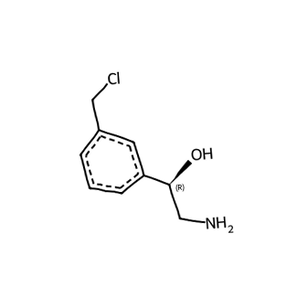 NC[C@H](O)c1cccc(CCl)c1